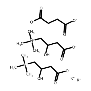 C[N+](C)(C)CC(O)CC(=O)[O-].C[N+](C)(C)CC(O)CC(=O)[O-].O=C([O-])CCC(=O)[O-].[K+].[K+]